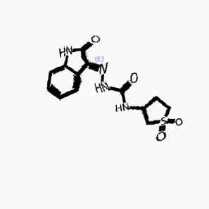 O=C(N/N=C1/C(=O)Nc2ccccc21)NC1CCS(=O)(=O)C1